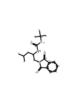 CC(C)CC(CN1C(=O)c2ccccc2C1=O)NC(=O)OC(C)(C)C